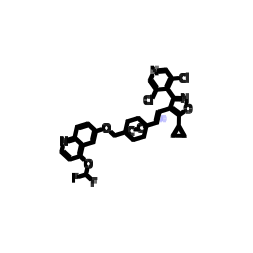 FC(F)Oc1ccnc2ccc(OCC34CCC(/C=C/c5c(-c6c(Cl)cncc6Cl)noc5C5CC5)(CC3)CC4)cc12